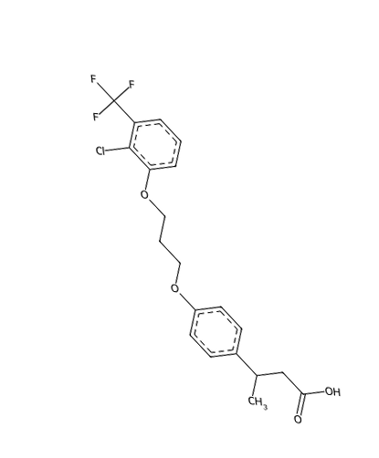 CC(CC(=O)O)c1ccc(OCCCOc2cccc(C(F)(F)F)c2Cl)cc1